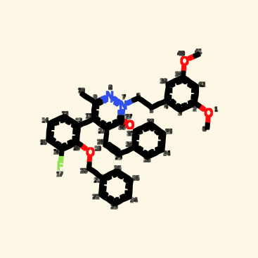 COc1cc(CCn2nc(C)c(-c3cccc(F)c3OCc3ccccc3)c(C=Cc3ccccc3)c2=O)cc(OC)c1